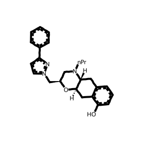 CCCN1C[C@H](Cn2ccc(-c3ccccc3)n2)O[C@@H]2Cc3c(O)cccc3C[C@H]21